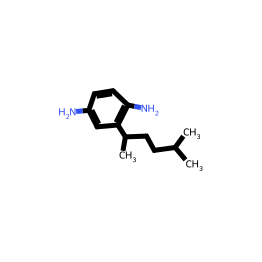 CC(C)CCC(C)c1cc(N)ccc1N